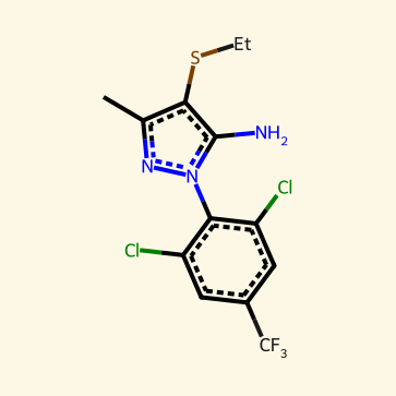 CCSc1c(C)nn(-c2c(Cl)cc(C(F)(F)F)cc2Cl)c1N